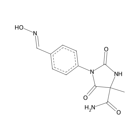 CC1(C(N)=O)NC(=O)N(c2ccc(C=NO)cc2)C1=O